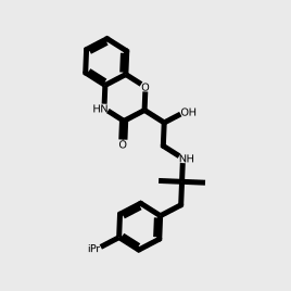 CC(C)c1ccc(CC(C)(C)NCC(O)C2Oc3ccccc3NC2=O)cc1